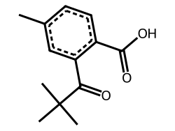 Cc1ccc(C(=O)O)c(C(=O)C(C)(C)C)c1